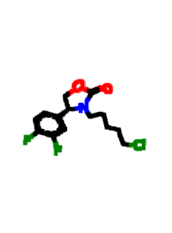 O=C1OC[C@H](c2ccc(F)c(F)c2)N1CCCCCCl